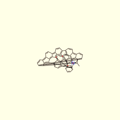 CC1N(c2ccccc2)C(c2ccc3ccc4cccc5ccc2c3c45)C23C4=c5ccc6c7ccc8c9ccc%10c%11ccc%12c%13c(c%14c%15c2c5c6c2c7c8c5c9c%10c(c%13%11)c%14c5c%152)C13C=%12C=C4